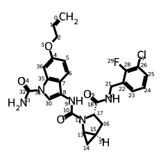 C=CCOc1ccc2c(NC(=O)N3C4C[C@@H]4C[C@H]3C(=O)NCc3cccc(Cl)c3F)cn(C(N)=O)c2c1